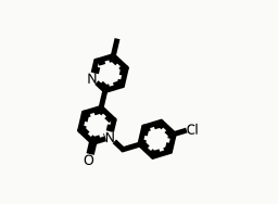 Cc1ccc(-c2ccc(=O)n(Cc3ccc(Cl)cc3)c2)nc1